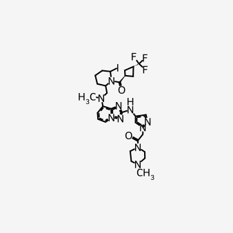 CN1CCN(C(=O)Cn2cc(Nc3nc4c(N(C)CC5CCCC(I)N5C(=O)[C@H]5C[C@H](C(F)(F)F)C5)cccn4n3)cn2)CC1